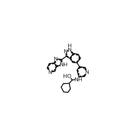 OC(Nc1cncc(-c2ccc3[nH]nc(-c4nc5ccncc5[nH]4)c3c2)c1)C1CCCCC1